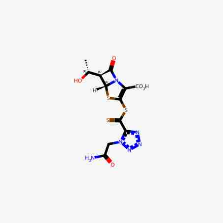 C[C@@H](O)[C@H]1C(=O)N2C(C(=O)O)=C(SC(=S)c3nnnn3CC(N)=O)S[C@H]12